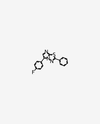 Fc1ccc(-c2cnc3sc(-c4ccccc4)nn23)cc1